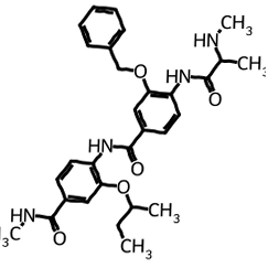 CCC(C)Oc1cc(C(=O)NC)ccc1NC(=O)c1ccc(NC(=O)C(C)NC)c(OCc2ccccc2)c1